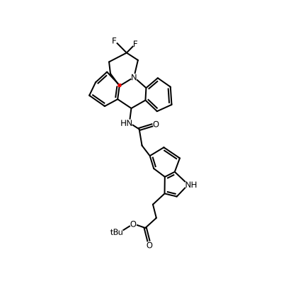 CC(C)(C)OC(=O)CCc1c[nH]c2ccc(CC(=O)NC(c3ccccc3)c3ccccc3N3CCCC(F)(F)C3)cc12